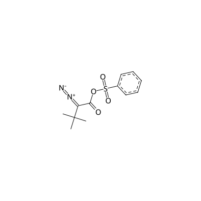 CC(C)(C)C(=[N+]=[N-])C(=O)OS(=O)(=O)c1ccccc1